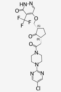 O=C1[C@@H](CC(=O)N2CCN(c3ncc(Cl)cn3)CC2)CC[C@H]1COc1cn[nH]c(=O)c1C(F)(F)F